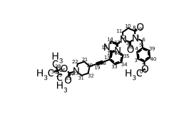 COc1ccc(CN2C(=O)CCN(c3cnc4c(C#CC5CCN(C(=O)OC(C)(C)C)CC5)cccn34)C2=O)cc1